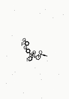 CC#CC(=O)N1CCC[C@@H](n2c(=O)n(-c3ccc(Oc4cccc(OC)c4F)cc3)c3cnccc32)C1